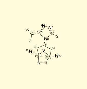 Cc1nnc(C(C)C)n1C1C[C@H]2CC[C@@H](C1)C2